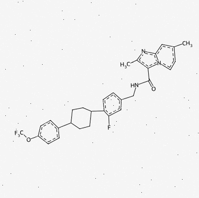 Cc1ccn2c(C(=O)NCc3ccc(C4CCC(c5ccc(OC(F)(F)F)cc5)CC4)c(F)c3)c(C)nc2c1